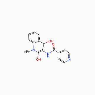 CCCN1C(O)=C(NC(=O)c2ccncc2)C(O)c2ccccc21